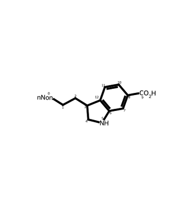 CCCCCCCCCCCC1CNc2cc(C(=O)O)ccc21